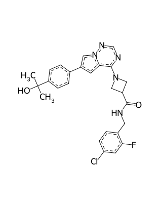 CC(C)(O)c1ccc(-c2cc3c(N4CC(C(=O)NCc5ccc(Cl)cc5F)C4)ncnn3c2)cc1